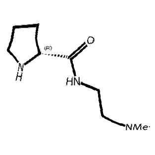 C[N]CCNC(=O)[C@H]1CCCN1